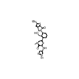 CCn1cc(Nc2nc(-c3cccc(N4Cc5cc(C(C)(C)C)sc5C4=O)c3CO)cn(C)c2=O)cn1